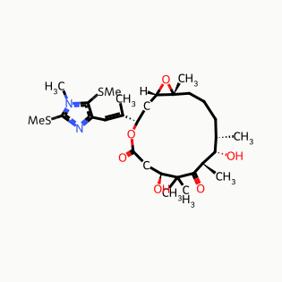 CSc1nc(/C=C(\C)[C@@H]2C[C@@H]3O[C@]3(C)CCC[C@H](C)[C@H](O)[C@@H](C)C(=O)C(C)(C)[C@@H](O)CC(=O)O2)c(SC)n1C